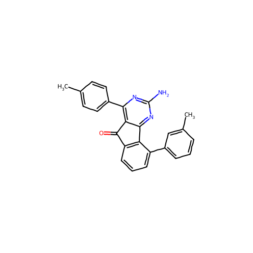 Cc1ccc(-c2nc(N)nc3c2C(=O)c2cccc(-c4cccc(C)c4)c2-3)cc1